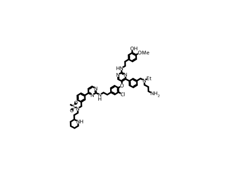 CCN(CCCN)Cc1cccc(-c2nc(NCCc3ccc(OC)c(O)c3)ncc2Oc2ccc(CCNc3nccc(-c4cccc(CN(CCC5CCCCN5)S(C)(=O)=O)c4)n3)cc2Cl)c1